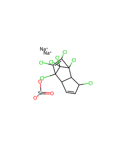 ClC1=C(Cl)C2(Cl)C3C(Cl)C=CC3C1(Cl)C2(Cl)Cl.O=[Si]([O-])[O-].[Na+].[Na+]